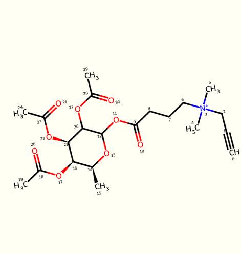 C#CC[N+](C)(C)CCCC(=O)OC1O[C@@H](C)[C@@H](OC(C)=O)[C@@H](OC(C)=O)C1OC(C)=O